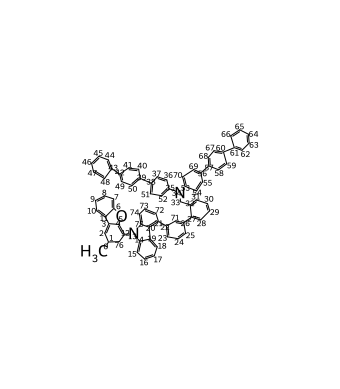 CC1C=c2c(oc3ccccc23)=C(n2c3ccccc3c3c(-c4cccc(-c5ccccc5CN(c5ccc(-c6ccc(-c7ccccc7)cc6)cc5)c5ccc(-c6ccc(-c7ccccc7)cc6)cc5)c4)cccc32)C1